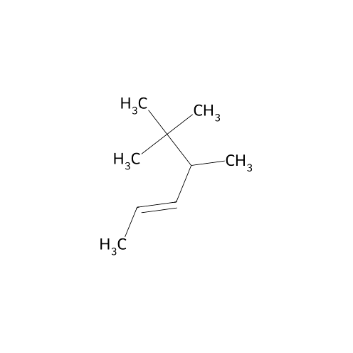 CC=CC(C)C(C)(C)C